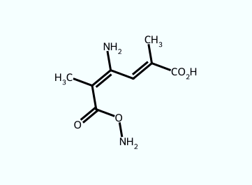 CC(=CC(N)=C(C)C(=O)ON)C(=O)O